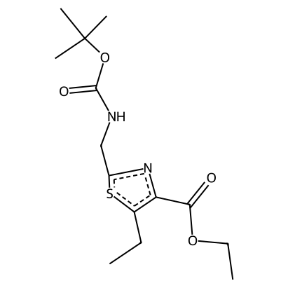 CCOC(=O)c1nc(CNC(=O)OC(C)(C)C)sc1CC